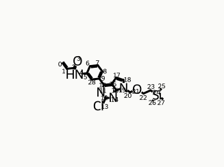 C=CC(=O)Nc1cccc(-c2nc(Cl)nc3c2ccn3COCC[Si](C)(C)C)c1